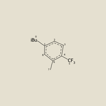 CCC(C)c1ccc(C(F)(F)F)c(C)c1